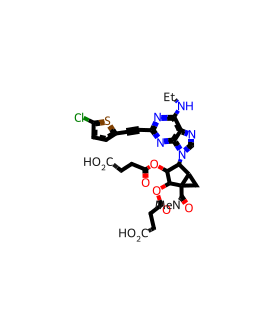 CCNc1nc(C#Cc2ccc(Cl)s2)nc2c1ncn2C1C(OC(=O)CCC(=O)O)C(OC(=O)CCC(=O)O)C2(C(=O)NC)CC12